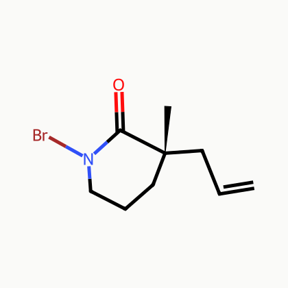 C=CC[C@]1(C)CCCN(Br)C1=O